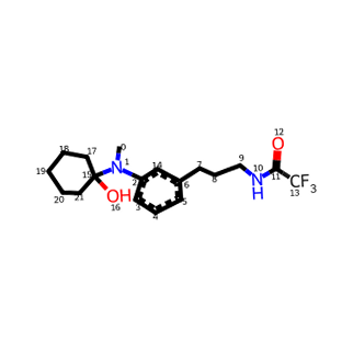 CN(c1cccc(CCCNC(=O)C(F)(F)F)c1)C1(O)CCCCC1